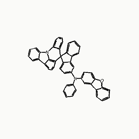 c1ccc(N(c2ccc3c(c2)-c2ccccc2C32c3ccccc3-n3c4ccccc4c4cccc2c43)c2ccc3oc4ccccc4c3c2)cc1